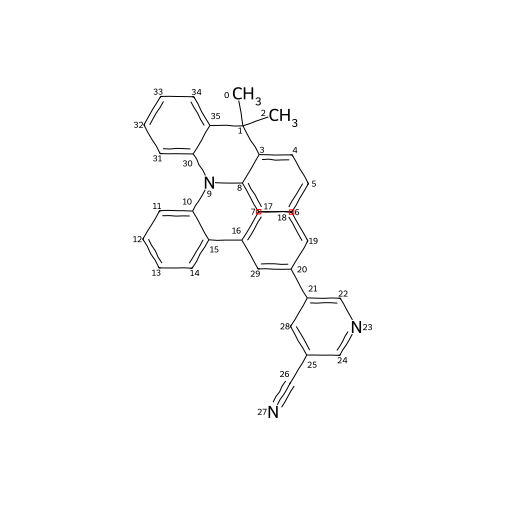 CC1(C)c2ccccc2N(c2ccccc2-c2cccc(-c3cncc(C#N)c3)c2)c2ccccc21